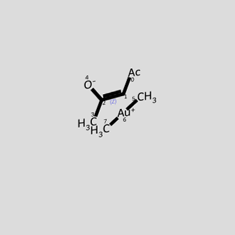 CC(=O)/C=C(/C)[O-].[CH3][Au+][CH3]